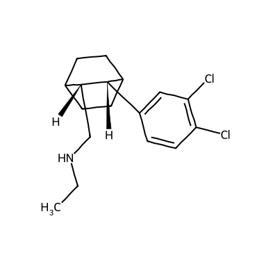 CCNC[C@@H]1C2CCC(CC2)[C@@H]1c1ccc(Cl)c(Cl)c1